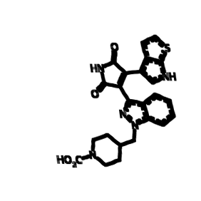 O=C1NC(=O)C(c2nn(CC3CCN(C(=O)O)CC3)c3ccccc23)=C1c1c[nH]c2sccc12